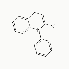 ClC1=CCc2ccccc2N1c1ccccc1